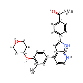 CNC(=O)c1ccc(-c2cc3c(-c4ccc(OC5CCOCC5)c(C#N)c4)ccnc3[nH]2)cc1